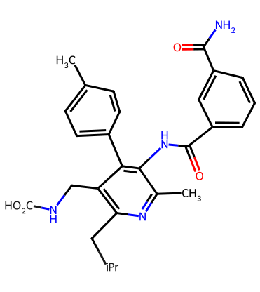 Cc1ccc(-c2c(CNC(=O)O)c(CC(C)C)nc(C)c2NC(=O)c2cccc(C(N)=O)c2)cc1